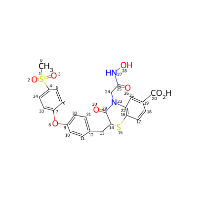 CS(=O)(=O)c1ccc(Oc2ccc(CC3Sc4ccc(C(=O)O)cc4N(CC(=O)NO)C3=O)cc2)cc1